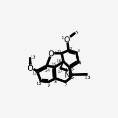 COC1=CC=C2C3Cc4ccc(OC)c5c4[C@]2(CCN3C)C1O5